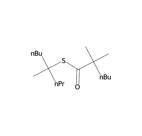 CCCCC(C)(CCC)SC(=O)C(C)(C)CCCC